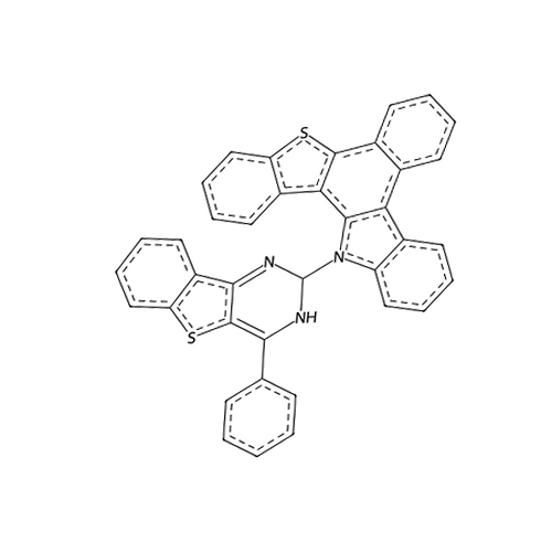 c1ccc(C2=c3sc4ccccc4c3=NC(n3c4ccccc4c4c5ccccc5c5sc6ccccc6c5c43)N2)cc1